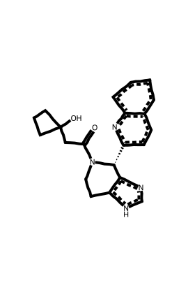 O=C(CC1(O)CCC1)N1CCc2[nH]cnc2[C@H]1c1ccc2ccccc2n1